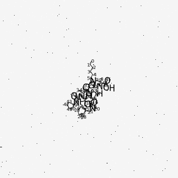 CCCCC/C=N\[C@@H]1C[C@]1(NC(=O)[C@@H]1C[C@@H](OC(=O)N(C)Cc2ccccc2C)CN1C(=O)[C@H](C)NC(=O)NC1CCCC1)C(=O)O